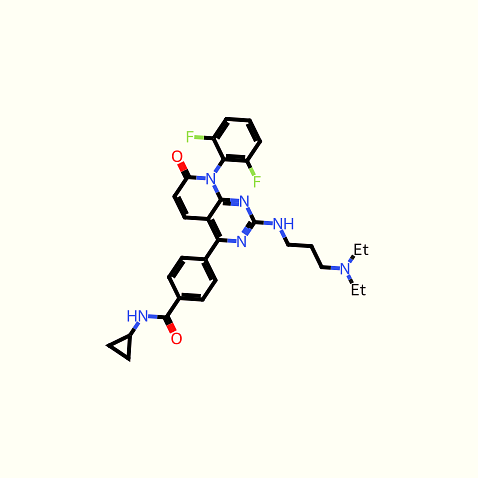 CCN(CC)CCCNc1nc(-c2ccc(C(=O)NC3CC3)cc2)c2ccc(=O)n(-c3c(F)cccc3F)c2n1